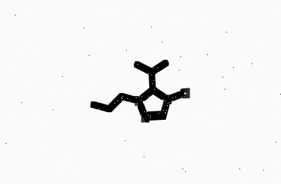 CCCN1N=CN(Cl)C1C(C)C